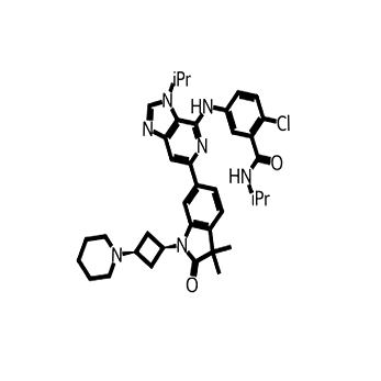 CC(C)NC(=O)c1cc(Nc2nc(-c3ccc4c(c3)N([C@H]3C[C@@H](N5CCCCC5)C3)C(=O)C4(C)C)cc3ncn(C(C)C)c23)ccc1Cl